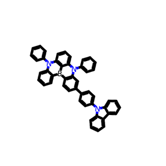 c1ccc(N2c3ccccc3B3c4ccc(-c5ccc(-n6c7ccccc7c7ccccc76)cc5)cc4N(c4ccccc4)c4cccc2c43)cc1